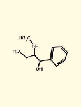 O=C(O)NC(CO)C(O)c1ccccc1